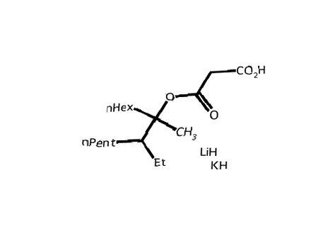 CCCCCCC(C)(OC(=O)CC(=O)O)C(CC)CCCCC.[KH].[LiH]